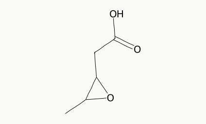 CC1OC1CC(=O)O